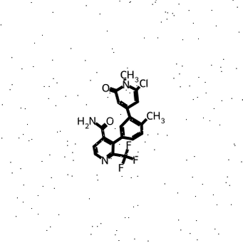 Cc1ccc(-c2c(C(N)=O)ccnc2C(F)(F)F)cc1-c1cc(Cl)n(C)c(=O)c1